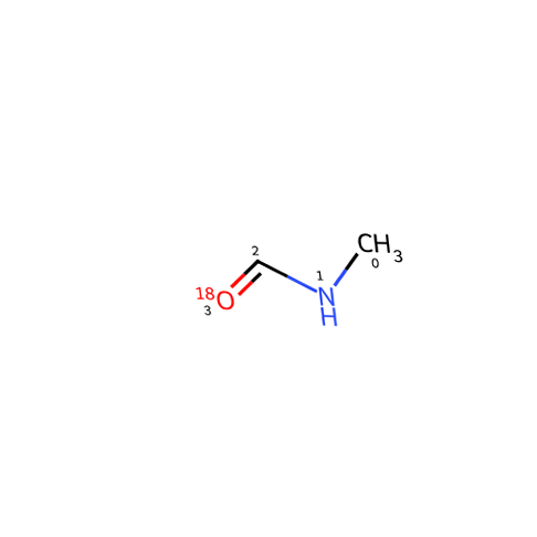 CNC=[18O]